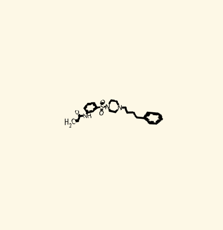 C=CC(=O)Nc1cccc(S(=O)(=O)N2CCN(CCCCc3ccccc3)CC2)c1